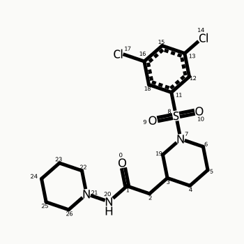 O=C(CC1CCCN(S(=O)(=O)c2cc(Cl)cc(Cl)c2)C1)NN1CCCCC1